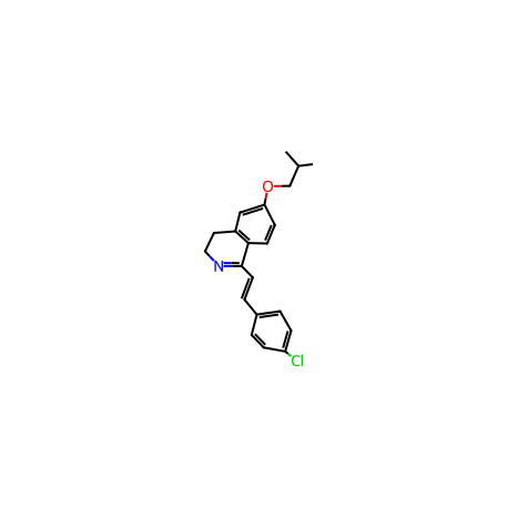 CC(C)COc1ccc2c(c1)CCN=C2/C=C/c1ccc(Cl)cc1